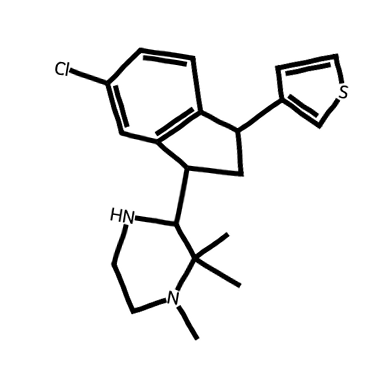 CN1CCNC(C2CC(c3ccsc3)c3ccc(Cl)cc32)C1(C)C